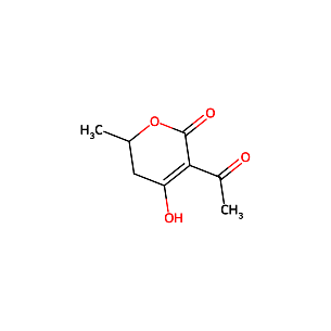 CC(=O)C1=C(O)CC(C)OC1=O